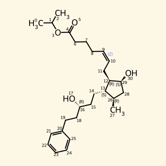 CC(C)OC(=O)CCC/C=C\C[C@@H]1[C@@H](CC[C@@H](O)CCc2ccccc2)[C@H](C)C[C@@H]1O